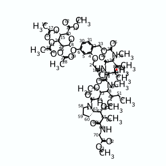 C#CCOc1cc(O[C@@H]2O[C@H](C(=O)OC)[C@@H](OC(C)=O)[C@H](OC(C)=O)[C@H]2OC(C)=O)ccc1COC(=O)N(C)[C@H](C(=O)N[C@H](C(=O)N(C)[C@@H](C(C)CC)[C@@H](CC(=O)N1CCC[C@H]1[C@H](OC)[C@@H](C)C(=O)NCC(=O)OC)OC)C(C)C)C(C)C